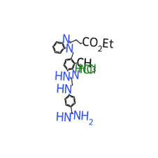 CCOC(=O)CCc1nc2ccccc2n1Cc1ccc2[nH]c(CNc3ccc(C(=N)N)cc3)nc2c1C.Cl.Cl